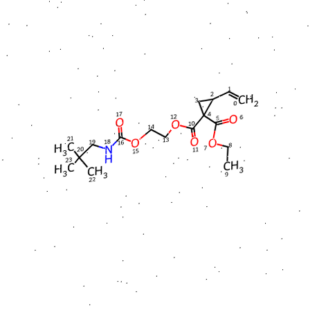 C=CC1CC1(C(=O)OCC)C(=O)OCCOC(=O)NCC(C)(C)C